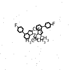 CC1=Cc2c(-c3ccc(F)cc3)cccc2[CH]1[Zr]([CH]1C(C)=Cc2c(-c3ccc(F)cc3)cccc21)=[Si](C)C